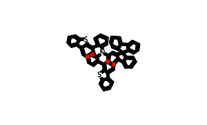 c1ccc(N(c2ccc3c(c2)C2(c4ccccc4-c4ccccc42)c2ccccc2-3)c2ccccc2-c2cccc3c2sc2ccccc23)c(-c2cccc3c2sc2ccccc23)c1